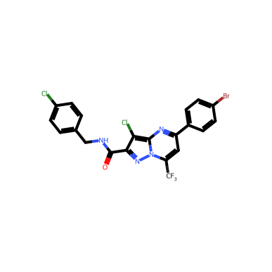 O=C(NCc1ccc(Cl)cc1)c1nn2c(C(F)(F)F)cc(-c3ccc(Br)cc3)nc2c1Cl